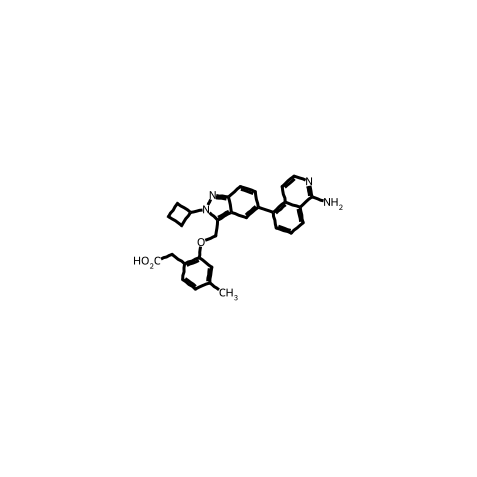 Cc1ccc(CC(=O)O)c(OCc2c3cc(-c4cccc5c(N)nccc45)ccc3nn2C2CCC2)c1